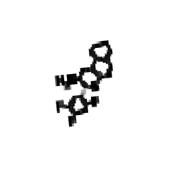 N[C@H]1Cc2c(ccc3ccccc23)S[C@@H]1c1cc(F)c(F)cc1F